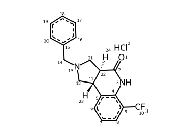 Cl.O=C1Nc2c(cccc2C(F)(F)F)[C@@H]2CN(Cc3ccccc3)C[C@@H]12